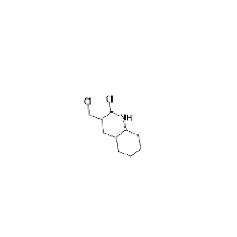 ClCC1CC2CCCCC2NC1Cl